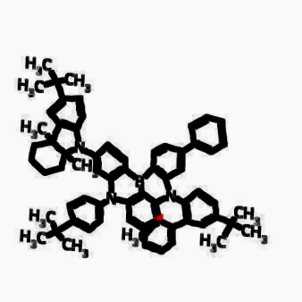 Cc1cc2c3c(c1)N(c1ccc(C(C)(C)C)cc1-c1ccccc1)c1cc(-c4ccccc4)ccc1B3c1ccc(N3c4ccc(C(C)(C)C)cc4C4(C)CCCCC34C)cc1N2c1ccc(C(C)(C)C)cc1